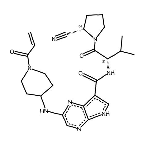 C=CC(=O)N1CCC(Nc2cnc3[nH]cc(C(=O)N[C@H](C(=O)N4CCC[C@H]4C#N)C(C)C)c3n2)CC1